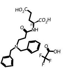 O=C(O)C(F)(F)F.O=C(O)CC[C@H](NC(=O)CCN(Cc1ccccc1)Cc1ccccc1)C(=O)O